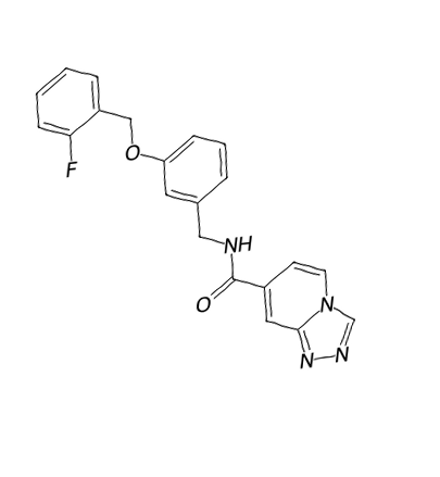 O=C(NCc1cccc(OCc2ccccc2F)c1)c1ccn2cnnc2c1